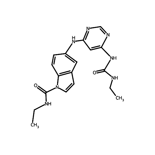 CCNC(=O)Nc1cc(Nc2ccc3c(ccn3C(=O)NCC)c2)ncn1